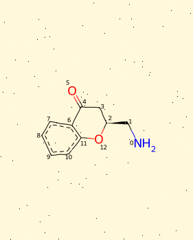 NC[C@@H]1CC(=O)c2ccccc2O1